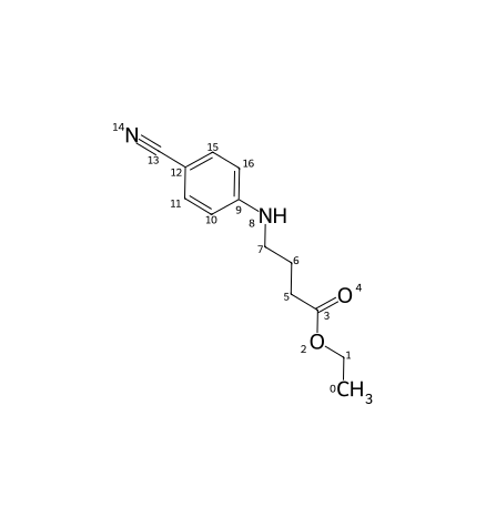 CCOC(=O)CCCNc1ccc(C#N)cc1